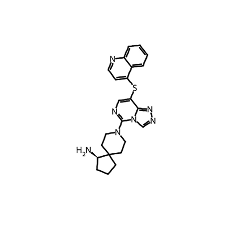 N[C@@H]1CCCC12CCN(c1ncc(Sc3ccnc4ccccc34)c3nncn13)CC2